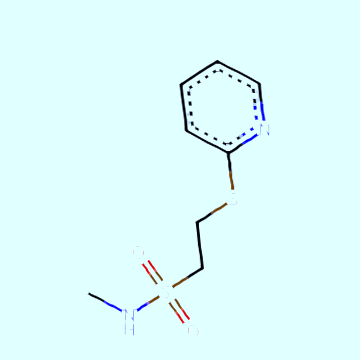 CNS(=O)(=O)CCSc1ccccn1